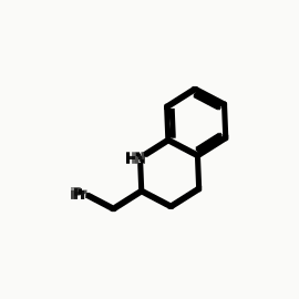 CC(C)CC1CCc2ccccc2N1